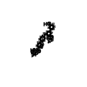 CC(C)(C)S(=O)(=O)NC(=O)c1ccc(N2CCN(Cc3cc(OC(F)(F)F)cc(-c4cccc(O)c4)c3)CC2)nn1